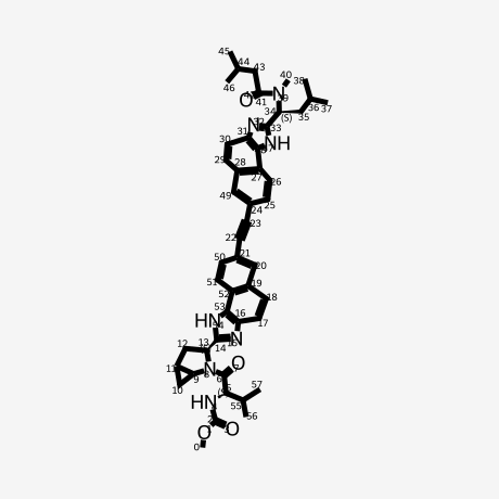 COC(=O)N[C@H](C(=O)N1C2CC2C[C@H]1c1nc2ccc3cc(C#Cc4ccc5c(ccc6nc([C@H](CC(C)C)N(C)C(=O)CC(C)C)[nH]c65)c4)ccc3c2[nH]1)C(C)C